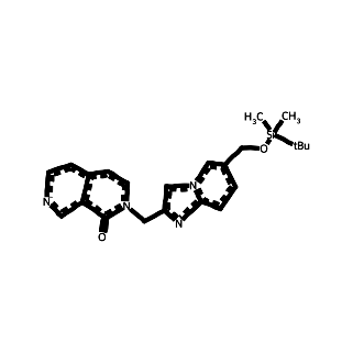 CC(C)(C)[Si](C)(C)OCc1ccc2nc(Cn3ccc4ccncc4c3=O)cn2c1